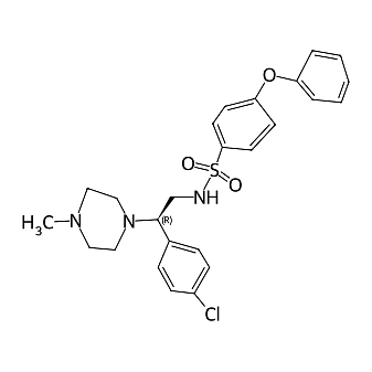 CN1CCN([C@@H](CNS(=O)(=O)c2ccc(Oc3ccccc3)cc2)c2ccc(Cl)cc2)CC1